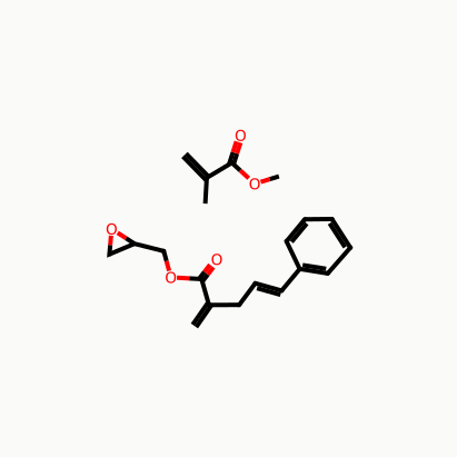 C=C(C)C(=O)OC.C=C(CC=Cc1ccccc1)C(=O)OCC1CO1